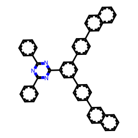 c1ccc(-c2nc(-c3ccccc3)nc(-c3cc(-c4ccc(-c5ccc6ccccc6c5)cc4)cc(-c4ccc(-c5ccc6ccccc6c5)cc4)c3)n2)cc1